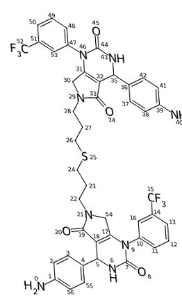 Nc1ccc(C2NC(=O)N(c3cccc(C(F)(F)F)c3)C3=C2C(=O)N(CCCSCCCN2CC4=C(C2=O)C(c2ccc(N)cc2)NC(=O)N4c2cccc(C(F)(F)F)c2)C3)cc1